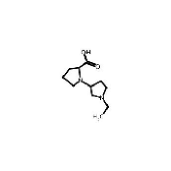 CCN1CCC(N2CCCC2C(=O)O)C1